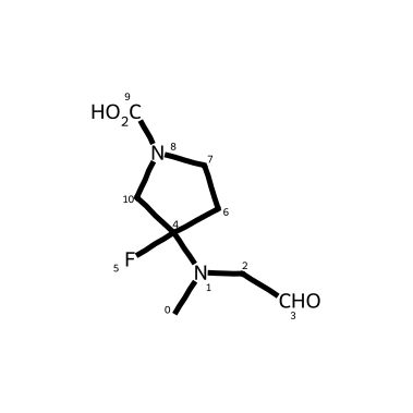 CN(CC=O)C1(F)CCN(C(=O)O)C1